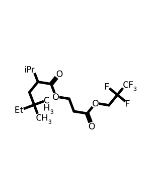 CCC(C)(C)CC(C(=O)OCCC(=O)OCC(F)(F)C(F)(F)F)C(C)C